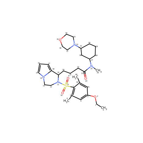 CCOc1cc(C)c(S(=O)(=O)N2CCn3cccc3C2CCCC(=O)N(C)C2CCCC(N3CCOCC3)C2)c(C)c1